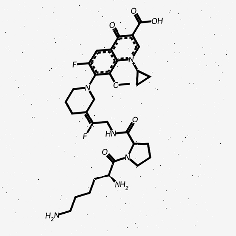 COc1c(N2CCC/C(=C(\F)CNC(=O)C3CCCN3C(=O)[C@@H](N)CCCCN)C2)c(F)cc2c(=O)c(C(=O)O)cn(C3CC3)c12